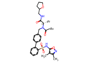 CCCCC(=O)N(Cc1ccc(-c2ccccc2S(=O)(=O)Nc2onc(C)c2C)cc1)[C@H](C(=O)NCC1CCCO1)C(C)C